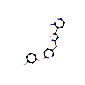 Nc1ncccc1-c1cc(Cc2ccc(Oc3cccc(Cl)c3)nc2)no1